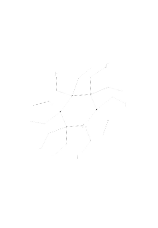 FCN1C(CF)(CF)C(CF)(CF)C(CF)(CF)C(CF)(CF)C1(CF)CF